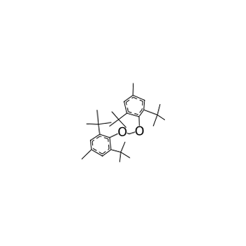 Cc1cc(C(C)(C)C)c(OCOc2c(C(C)(C)C)cc(C)cc2C(C)(C)C)c(C(C)(C)C)c1